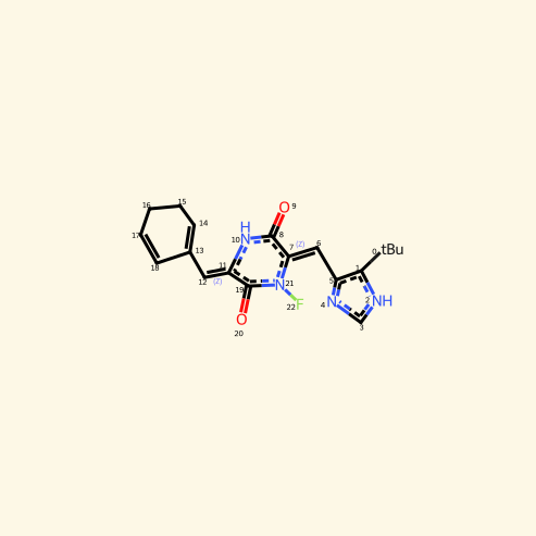 CC(C)(C)c1[nH]cnc1/C=c1/c(=O)[nH]/c(=C\C2=CCCC=C2)c(=O)n1F